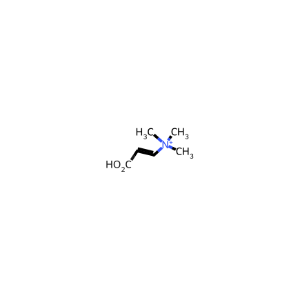 C[N+](C)(C)C=CC(=O)O